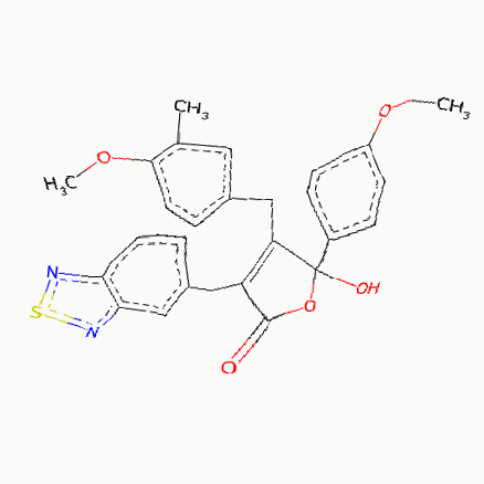 COc1ccc(C2(O)OC(=O)C(c3ccc4nsnc4c3)=C2Cc2ccc(OC)c(C)c2)cc1